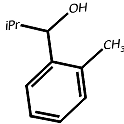 Cc1ccccc1C(O)C(C)C